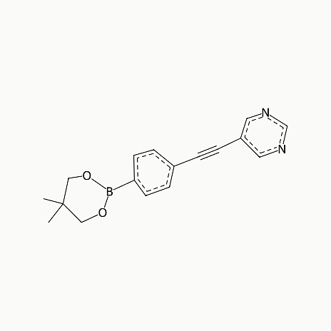 CC1(C)COB(c2ccc(C#Cc3cncnc3)cc2)OC1